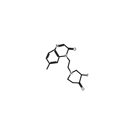 Cc1ccc2ncc(=O)n(CCN3CCC(=O)C(F)C3)c2c1